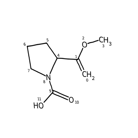 C=C(OC)C1CCCN1C(=O)O